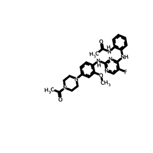 COc1cc(N2CCN(C(C)=O)CC2)ccc1Nc1ncc(F)c(Nc2ccccc2NC(C)=O)n1